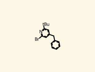 CC(C)(C)c1cc(Cc2ccccc2)cc(Br)n1